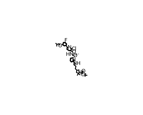 CC(C)COc1cc(F)cc(-c2ccc(C(=O)N[S+]([O-])c3cccc(NCCCC4CN(C(=O)OC(C)(C)C)C(C)(C)C4)n3)c(Cl)n2)c1